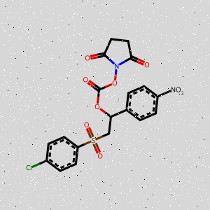 O=C(OC(CS(=O)(=O)c1ccc(Cl)cc1)c1ccc([N+](=O)[O-])cc1)ON1C(=O)CCC1=O